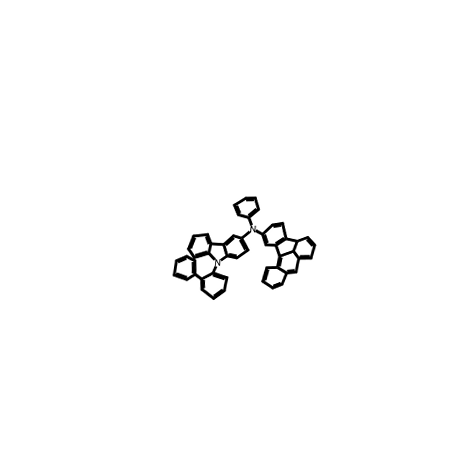 C1=CC2c3ccc(N(c4ccccc4)c4ccc5c(c4)c4ccccc4n5-c4ccccc4-c4ccccc4)cc3C3=c4ccccc4=CC(=C1)C32